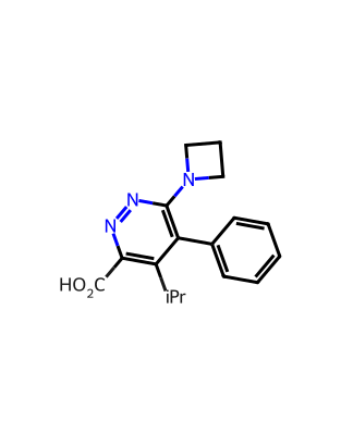 CC(C)c1c(C(=O)O)nnc(N2CCC2)c1-c1ccccc1